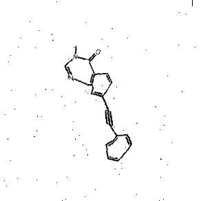 Cn1cnc2cc(C#Cc3ccccc3)ccc2c1=O